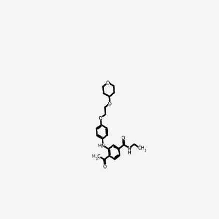 CCNC(=O)c1ccc(C(C)=O)c(Nc2ccc(OCCOC3CCOCC3)cc2)c1